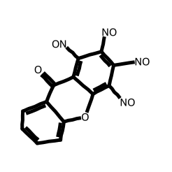 O=Nc1c(N=O)c(N=O)c2c(=O)c3ccccc3oc2c1N=O